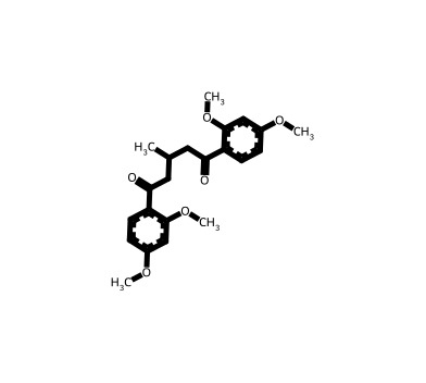 COc1ccc(C(=O)CC(C)CC(=O)c2ccc(OC)cc2OC)c(OC)c1